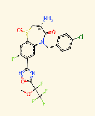 COC(F)(c1nc(-c2cc3c(cc2F)[S+]([O-])C[C@H](N)C(=O)N3Cc2ccc(Cl)cc2)no1)C(F)(F)F